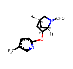 O=CN1C[C@@H]2C[C@H](Oc3ccc(C(F)(F)F)cn3)[C@H]1C2